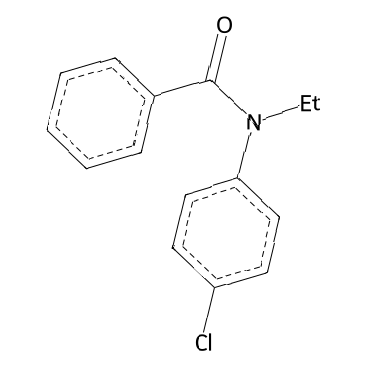 CCN(C(=O)c1ccccc1)c1ccc(Cl)cc1